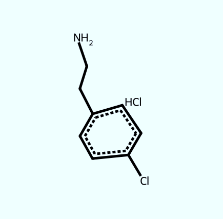 Cl.NCCc1ccc(Cl)cc1